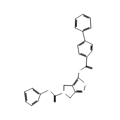 O=C(Nc1[nH]nc2c1CN(C(=O)Nc1ccccc1)C2)c1ccc(-c2ccccc2)cc1